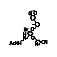 CC(=O)NCCNCc1cc(Br)c(OCc2cccc(-c3ccc4c(c3)OCCO4)c2C)cc1OCc1cncc(C#N)c1